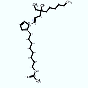 CCCCCCC(O)(CC)C/C=C/[C@H]1C=CC[C@@H]1CCCCCCCCOC(C)=O